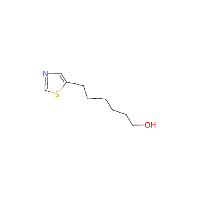 OCCCCCCc1cncs1